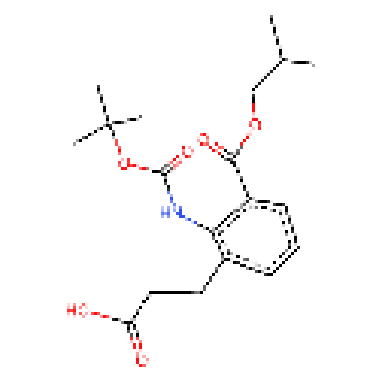 CC(C)COC(=O)c1cccc(CCC(=O)O)c1NC(=O)OC(C)(C)C